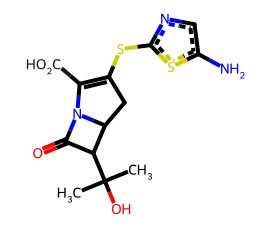 CC(C)(O)C1C(=O)N2C(C(=O)O)=C(Sc3ncc(N)s3)CC12